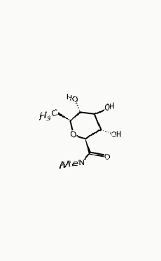 CNC(=O)[C@H]1O[C@@H](C)[C@H](O)C(O)[C@@H]1O